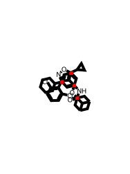 O=C(Nc1cccc(C2CCCCC2)c1)C1C2CC(OCc3c(-c4c(Cl)cccc4Cl)noc3C3CC3)CC1C2